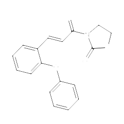 O=C(C=Cc1ccccc1Oc1ccccc1)N1CCSC1=O